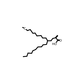 C=C(CCC(CCCCCCCCCC)CCCCCCCCCC)C(=O)O